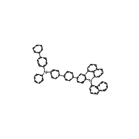 c1ccc(-c2ccc(N(c3ccccc3)c3ccc(-c4ccc(-c5ccc6c(c5)-c5cccc7cccc(c57)N6c5cccc6ccccc56)cc4)cc3)cc2)cc1